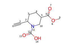 C#CC1CCC(C(=O)OC)CN1C(=O)O